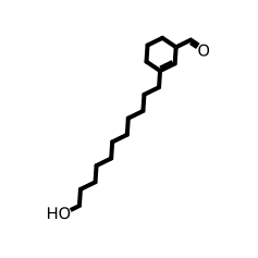 O=CC1C=C(CCCCCCCCCCCO)CCC1